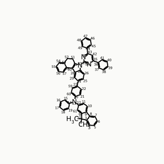 CC1(C)c2ccccc2-c2ccc(N(c3ccccc3)c3ccc(-c4ccc5c(c4)c4c(n5-c5nc(-c6ccccc6)cc(-c6ccccc6)n5)CCc5ccccc5-4)cc3)cc21